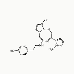 CC(C)N1C=NC2/C=C(NCCc3ccc(O)cc3)\N=C(\c3cccn3C)C/N=C\21